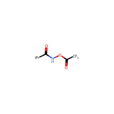 CC(C)C(=O)NOC(=O)C(F)(F)F